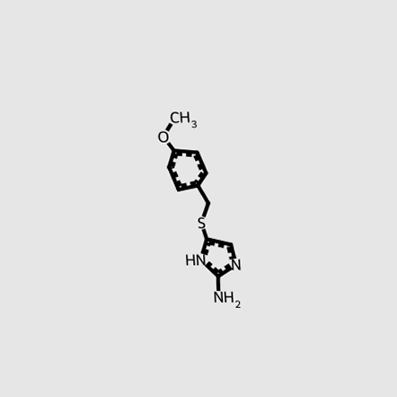 COc1ccc(CSc2cnc(N)[nH]2)cc1